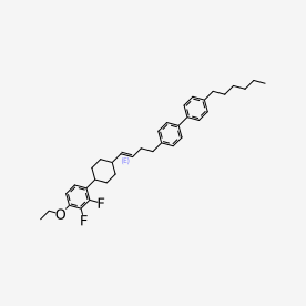 CCCCCCc1ccc(-c2ccc(CC/C=C/C3CCC(c4ccc(OCC)c(F)c4F)CC3)cc2)cc1